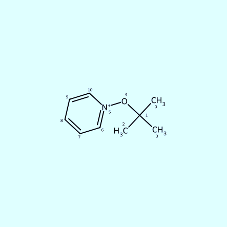 CC(C)(C)O[n+]1ccccc1